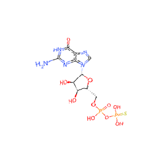 Nc1nc2c(ncn2[C@@H]2O[C@H](COP(=O)(O)OP(O)(O)=S)[C@@H](O)[C@H]2O)c(=O)[nH]1